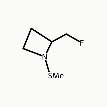 CSN1CCC1CF